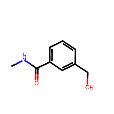 CNC(=O)c1cccc(CO)c1